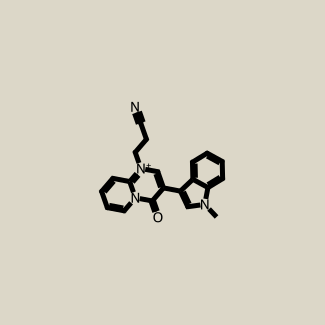 Cn1cc(-c2c[n+](CCC#N)c3ccccn3c2=O)c2ccccc21